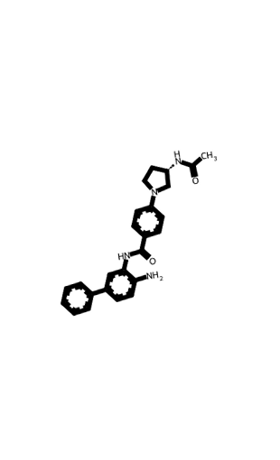 CC(=O)N[C@H]1CCN(c2ccc(C(=O)Nc3cc(-c4ccccc4)ccc3N)cc2)C1